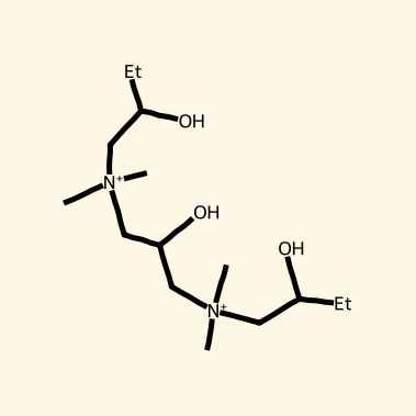 CCC(O)C[N+](C)(C)CC(O)C[N+](C)(C)CC(O)CC